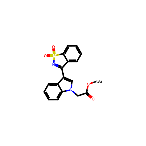 CC(C)(C)OC(=O)Cn1cc(C2=NS(=O)(=O)c3ccccc32)c2ccccc21